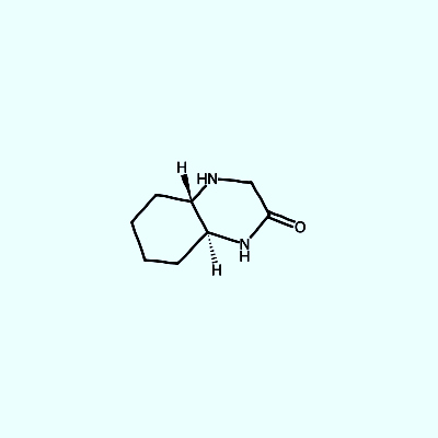 O=C1CN[C@H]2CCCC[C@@H]2N1